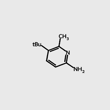 Cc1nc(N)ccc1C(C)(C)C